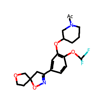 CC(=O)N1CCCC(Oc2cc(C3=NOC4(CCOC4)C3)ccc2OC(F)F)C1